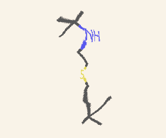 CC(C)(C)CCSCCNC(C)(C)C